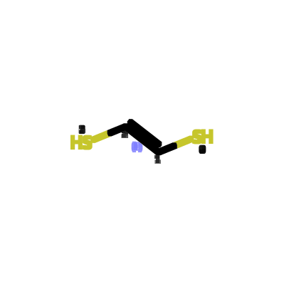 S/C=C/S